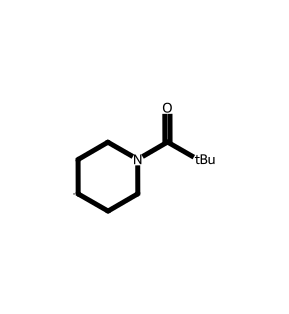 CC(C)(C)C(=O)N1CC[CH]CC1